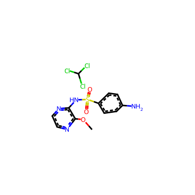 COc1nccnc1NS(=O)(=O)c1ccc(N)cc1.ClC(Cl)Cl